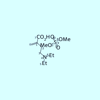 C=C(CCN(CC)CC)C(=O)O.COS(=O)(=O)OC